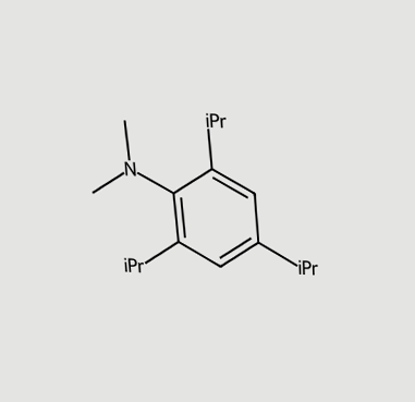 CC(C)c1cc(C(C)C)c(N(C)C)c(C(C)C)c1